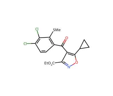 CCOC(=O)c1noc(C2CC2)c1C(=O)c1ccc(Cl)c(Cl)c1SC